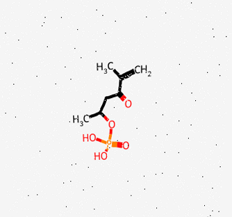 C=C(C)C(=O)CC(C)OP(=O)(O)O